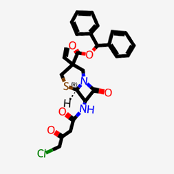 C=CC1(C(=O)OC(c2ccccc2)c2ccccc2)CS[C@@H]2C(NC(=O)CC(=O)CCl)C(=O)N2C1